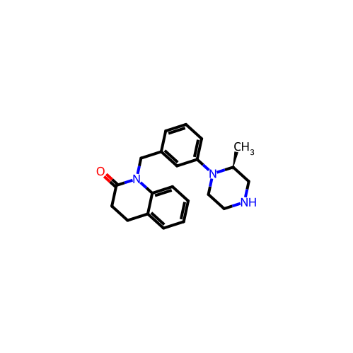 C[C@H]1CNCCN1c1cccc(CN2C(=O)CCc3ccccc32)c1